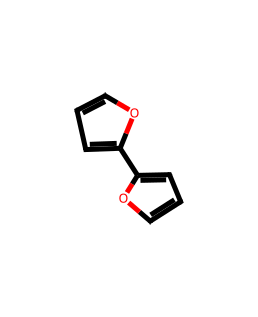 [c]1ccc(-c2cc[c]o2)o1